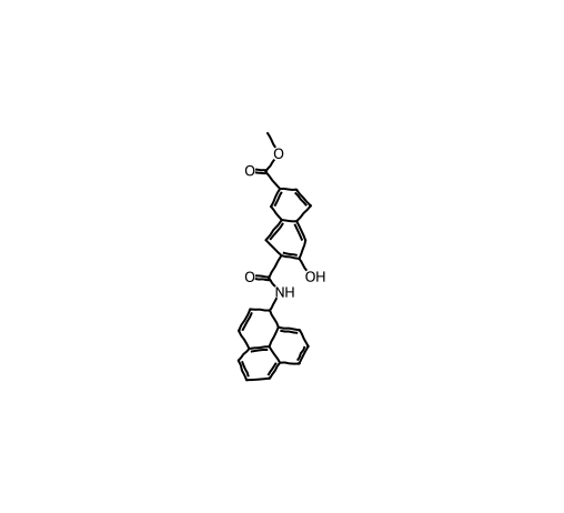 COC(=O)c1ccc2cc(O)c(C(=O)NC3C=Cc4cccc5cccc3c45)cc2c1